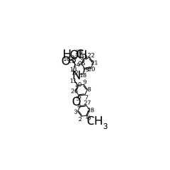 Cc1ccc(Oc2cccc(CN(CCC(=O)O)Cc3cccc(C)c3)c2)cc1